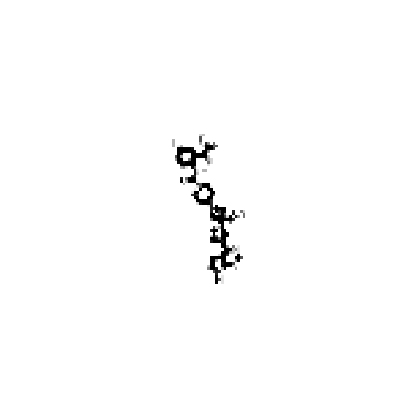 N#CCC1(n2cc(-c3ncnc4[nH]ccc34)cn2)CN(C2CCN(C(=O)Nc3ccc(F)cc3C(F)C(F)F)CC2)C1